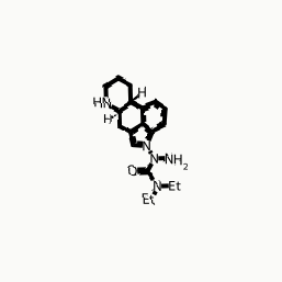 CCN(CC)C(=O)N(N)n1cc2c3c(cccc31)[C@H]1CCCN[C@@H]1C2